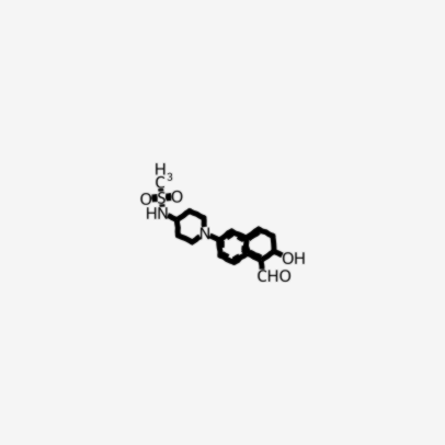 CS(=O)(=O)NC1CCN(c2ccc3c(c2)=CCC(O)C=3C=O)CC1